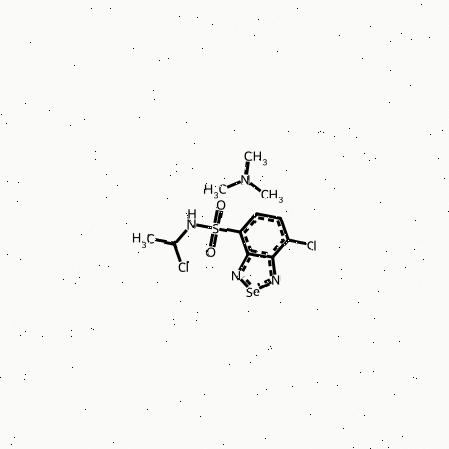 CC(Cl)NS(=O)(=O)c1ccc(Cl)c2n[se]nc12.CN(C)C